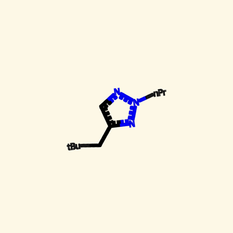 CCCn1ncc(CC(C)(C)C)n1